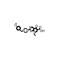 CCn1cc(C(=O)O)c(=O)c2cnc(N3CCN(Cc4ccc(OC)cc4)CC3)nc21